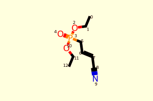 CCOP(=O)(CC=CC#N)OCC